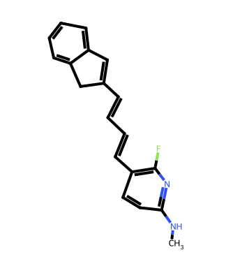 CNc1ccc(/C=C/C=C/C2=Cc3ccccc3C2)c(F)n1